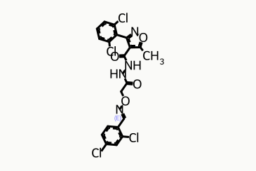 Cc1onc(-c2c(Cl)cccc2Cl)c1C(=O)NNC(=O)CO/N=C/c1ccc(Cl)cc1Cl